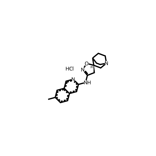 Cc1ccc2cc(NC3=NO[C@@]4(C3)CN3CCC4CC3)ncc2c1.Cl